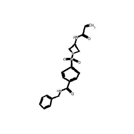 C=CC(=O)NC1CN(S(=O)(=O)c2ccc(C(=O)NCc3ccccc3)cc2)C1